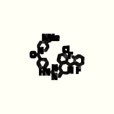 CNC1(C)CCN(C(=O)c2ccc(Nc3ncc4c(n3)-c3ccc(Cl)cc3C(c3c(F)cccc3F)=NC4)cc2)CC1